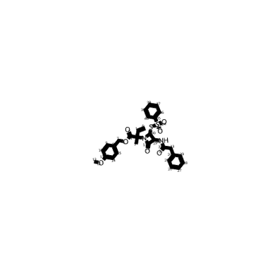 C=CC(C)(C(=O)OCc1ccc(OC)cc1)N1C(=O)C(NC(=O)Cc2ccccc2)C1SS(=O)(=O)c1ccccc1